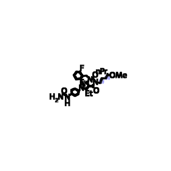 CCC/C(=C\C=C\n1c(=O)c2c(CC)n(-c3ccc(NC(N)=O)cc3)nc2n(Cc2c(F)cccc2F)c1=O)OC